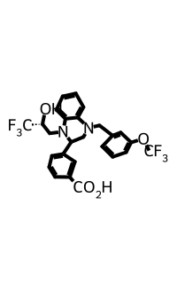 O=C(O)c1cccc(C2CN(Cc3cccc(OC(F)(F)F)c3)c3ccccc3N2C[C@@H](O)C(F)(F)F)c1